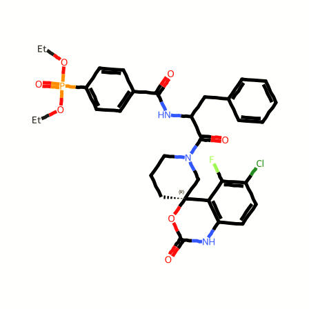 CCOP(=O)(OCC)c1ccc(C(=O)NC(Cc2ccccc2)C(=O)N2CCC[C@@]3(C2)OC(=O)Nc2ccc(Cl)c(F)c23)cc1